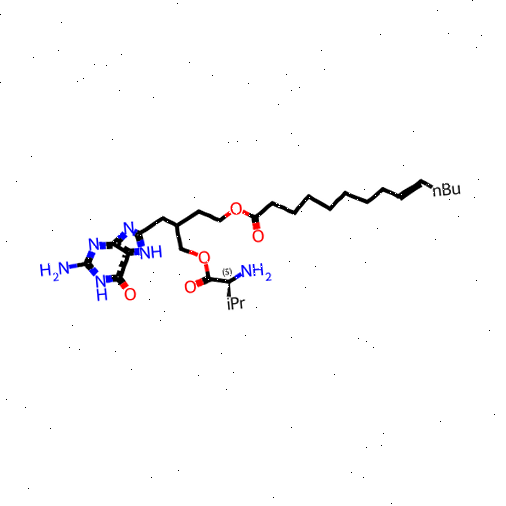 CCCCC=CCCCCCCCC(=O)OCCC(COC(=O)[C@@H](N)C(C)C)Cc1nc2nc(N)[nH]c(=O)c2[nH]1